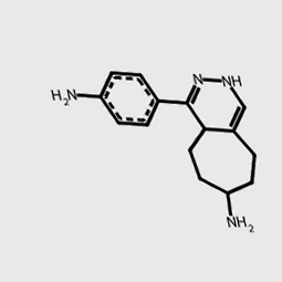 Nc1ccc(C2=NNC=C3CCC(N)CCC32)cc1